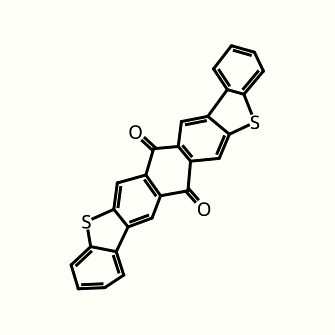 O=C1c2cc3sc4ccccc4c3cc2C(=O)c2cc3sc4ccccc4c3cc21